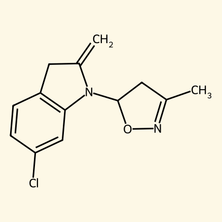 C=C1Cc2ccc(Cl)cc2N1C1CC(C)=NO1